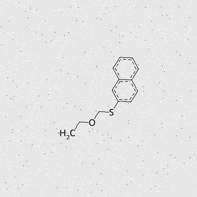 [CH2]COCSc1ccc2ccccc2c1